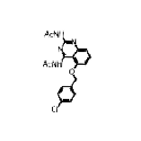 CC(=O)Nc1nc(NC(C)=O)c2c(OCc3ccc(Cl)cc3)cccc2n1